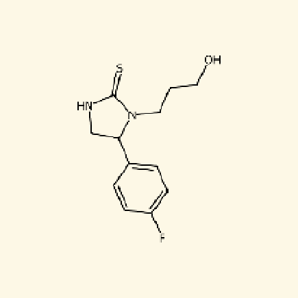 OCCCN1C(=S)NCC1c1ccc(F)cc1